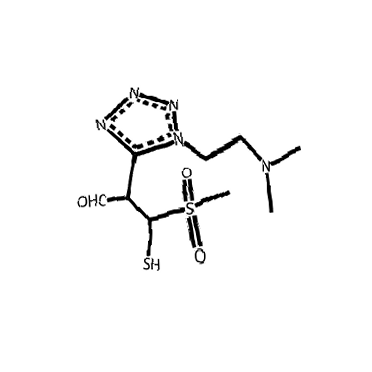 CN(C)CCn1nnnc1C(C=O)C(S)S(C)(=O)=O